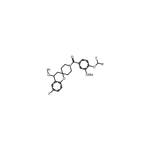 COc1cc(C(=O)N2CCC3(CC2)CC(OC(C)C)c2cc(F)ccc2O3)ccc1OC(F)F